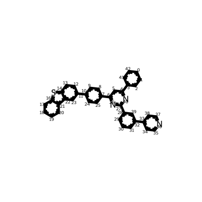 c1ccc(-c2cc(-c3ccc(-c4ccc5sc6ccccc6c5c4)cc3)nc(-c3cccc(-c4ccncc4)c3)n2)cc1